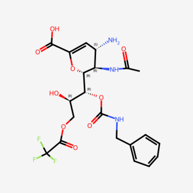 CC(=O)N[C@H]1[C@H]([C@H](OC(=O)NCc2ccccc2)[C@H](O)COC(=O)C(F)(F)F)OC(C(=O)O)=C[C@@H]1N